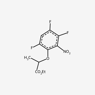 CCOC(=O)C(C)Oc1c(F)cc(F)c(F)c1[N+](=O)[O-]